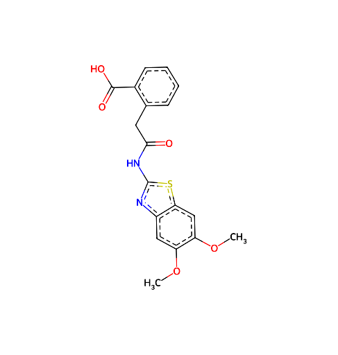 COc1cc2nc(NC(=O)Cc3ccccc3C(=O)O)sc2cc1OC